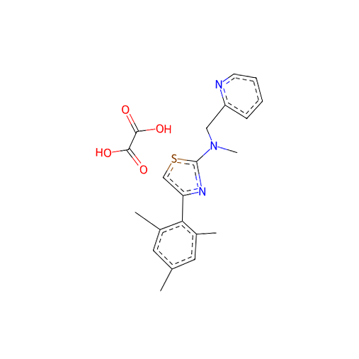 Cc1cc(C)c(-c2csc(N(C)Cc3ccccn3)n2)c(C)c1.O=C(O)C(=O)O